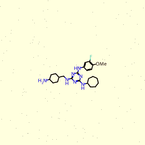 COc1ccc(Nc2nc(NCC3CCC(N)CC3)nc(NC3CCCCCC3)n2)cc1F